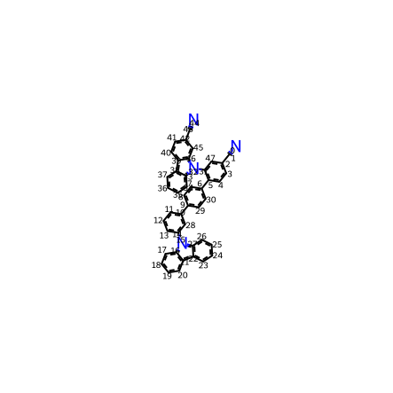 N#Cc1ccc(-c2ccc(-c3cccc(-n4c5ccccc5c5ccccc54)c3)cc2)c(-n2c3ccccc3c3ccc(C#N)cc32)c1